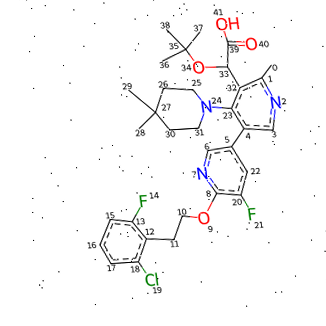 Cc1ncc(-c2cnc(OCCc3c(F)cccc3Cl)c(F)c2)c(N2CCC(C)(C)CC2)c1C(OC(C)(C)C)C(=O)O